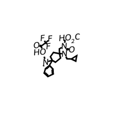 CN(C)C1(c2ccccc2)CCC2(CC1)CN(CC(=O)O)C(=O)N2CC1CC1.O=C(O)C(F)(F)F